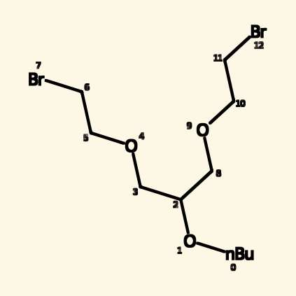 CCCCOC(COCCBr)COCCBr